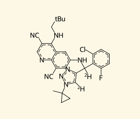 [2H]c1c(C([2H])(Nc2cc(C#N)c3ncc(C#N)c(NCC(C)(C)C)c3c2)c2c(F)cccc2Cl)nnn1C1(C)CC1